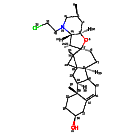 C[C@H]1C[C@H]2O[C@]3(CC[C@H]4C5CC=C6C[C@@H](O)CC[C@]6(C)[C@H]5CC45CC53C)[C@H](C)[C@@H]2N(CCCl)C1